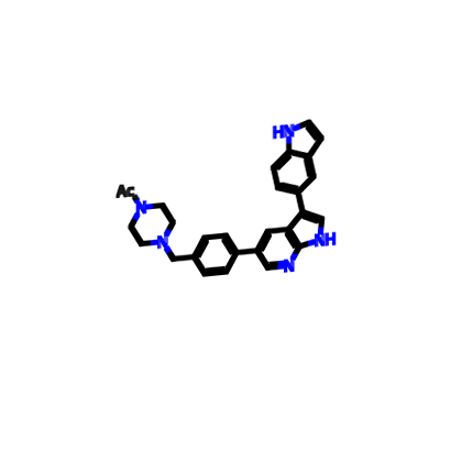 CC(=O)N1CCN(Cc2ccc(-c3cnc4[nH]cc(-c5ccc6[nH]ccc6c5)c4c3)cc2)CC1